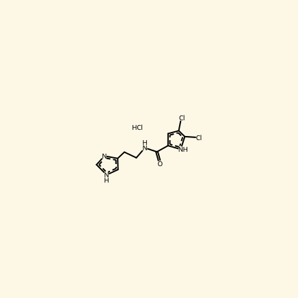 Cl.O=C(NCCc1c[nH]cn1)c1cc(Cl)c(Cl)[nH]1